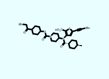 CC(C)(C)C#Cc1cc(N(C(=O)[C@H]2CC[C@H](C)CC2)C2CCN(C(=O)OC3CCC(C(=O)CC(C)(C)C)CC3)CC2)c(C(=O)O)s1